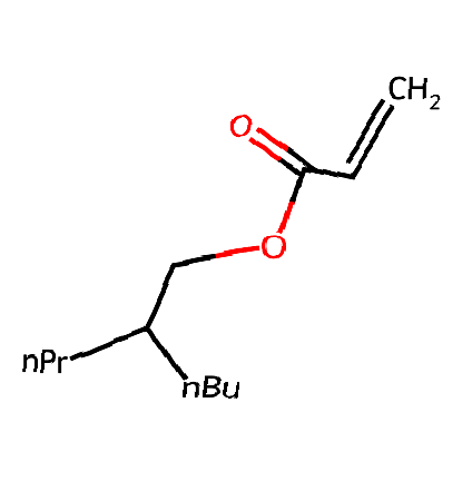 C=CC(=O)OCC(CCC)CCCC